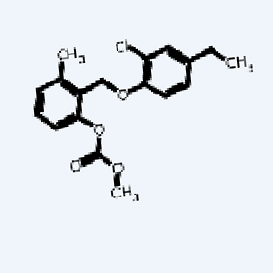 CCc1ccc(OCc2c(C)cccc2OC(=O)OC)c(Cl)c1